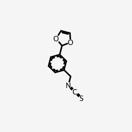 S=C=NCc1cccc(C2OC=CO2)c1